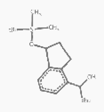 CC(C)(C)C(O)c1cccc2c1CCC2O[Si](C)(C)C(C)(C)C